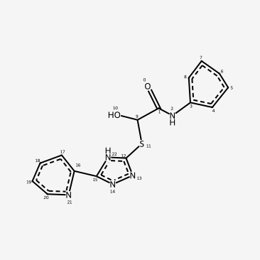 O=C(Nc1ccccc1)C(O)Sc1nnc(-c2ccccn2)[nH]1